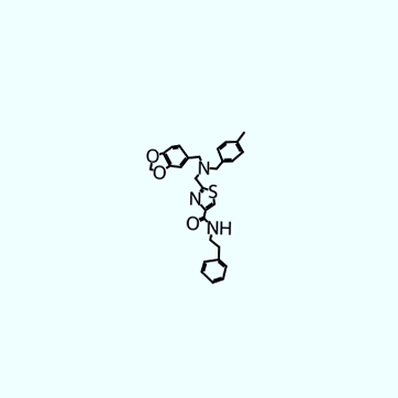 Cc1ccc(CN(Cc2ccc3c(c2)OCO3)Cc2nc(C(=O)NCCc3ccccc3)cs2)cc1